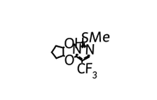 CSc1ncc(C(F)(F)F)c(OC2CCCC2O)n1